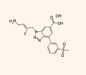 CS(=O)(=O)c1cccc(-c2cc(C(=O)O)cc3c2nnn3C/C(F)=C/CN)c1.Cl